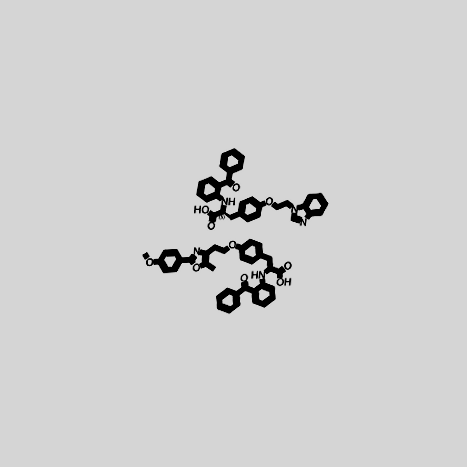 COc1ccc(-c2nc(CCOc3ccc(CC(Nc4ccccc4C(=O)c4ccccc4)C(=O)O)cc3)c(C)o2)cc1.O=C(c1ccccc1)c1ccccc1N[C@@H](Cc1ccc(OCCn2cnc3ccccc32)cc1)C(=O)O